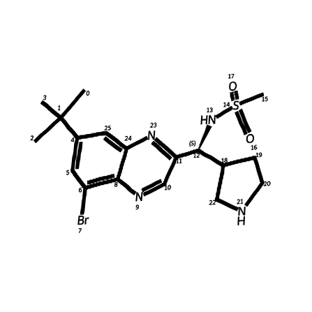 CC(C)(C)c1cc(Br)c2ncc([C@@H](NS(C)(=O)=O)C3CCNC3)nc2c1